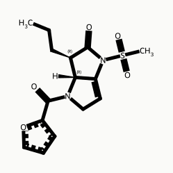 CCC[C@H]1C(=O)N(S(C)(=O)=O)C2=CCN(C(=O)c3ccco3)[C@@H]21